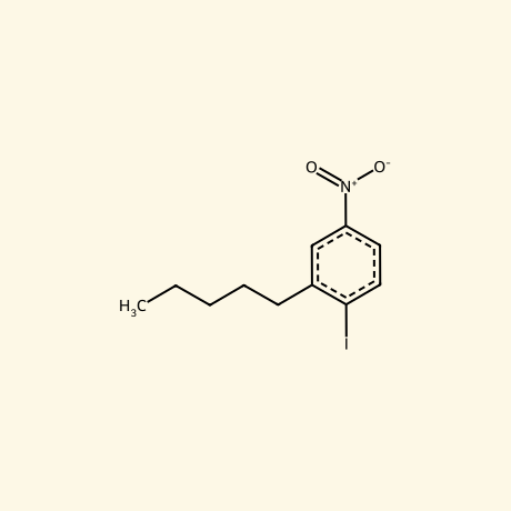 CCCCCc1cc([N+](=O)[O-])ccc1I